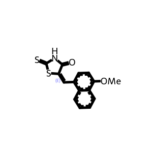 COc1ccc(/C=C2/SC(=S)NC2=O)c2ccccc12